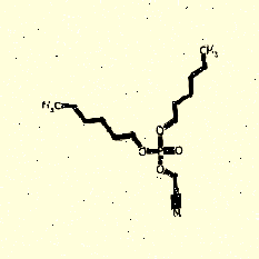 CCCCCCOP(=O)(OCC#N)OCCCCCC